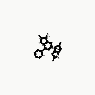 CC1=C2c3oc(C)cc3C1[Si]2(C)C.CC1=Cc2c(-c3ccccc3)cccc2[CH]1[Zr]